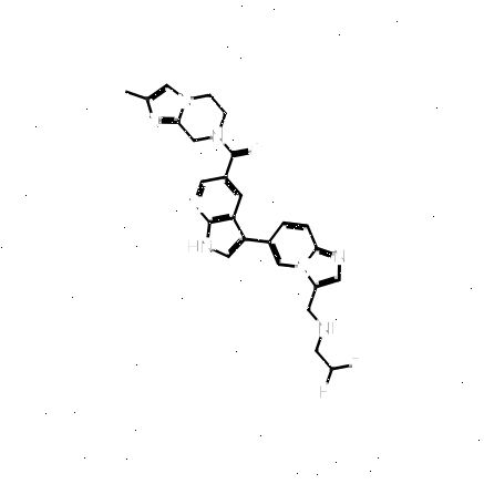 Cc1cn2c(n1)CN(C(=O)c1cnc3[nH]cc(-c4ccc5ncc(CNCC(F)F)n5c4)c3c1)CC2